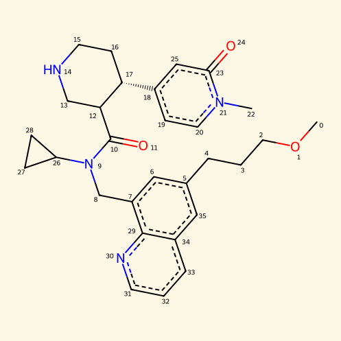 COCCCc1cc(CN(C(=O)C2CNCC[C@@H]2c2ccn(C)c(=O)c2)C2CC2)c2ncccc2c1